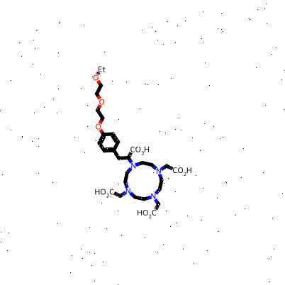 CCOCCOCCOc1ccc(CC(C(=O)O)N2CCN(CC(=O)O)CCN(CC(=O)O)CCN(CC(=O)O)CC2)cc1